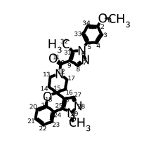 COc1ccc(-n2ncc(C(=O)N3CCC4(CC3)Oc3ccccc3-c3c4cnn3C)c2C)cc1